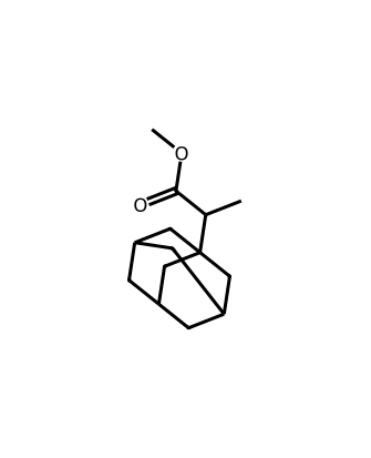 COC(=O)C(C)C12CC3CC(CC(C3)C1)C2